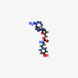 N#CS12N=CN=C(N)C(=CC=C1[C@H]1CC[C@@H](COC(=O)NCCN3CCC(O)CC3)O1)N2